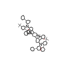 CC(C)(C)c1ccc(-c2ccccc2)c(N(c2cccc(-c3ccccc3)c2)c2ccc3c4cc5c(cc4n4c6ccccc6c2c34)c2ccc(N(c3cccc(-c4ccccc4)c3)c3cc(C(C)(C)C)ccc3-c3ccccc3)c3c4ccccc4n5c23)c1